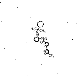 CC(C)(NCc1ccccc1NS(=O)(=O)c1ccc(-c2cc(C(F)(F)F)on2)s1)C1CCCCCC1